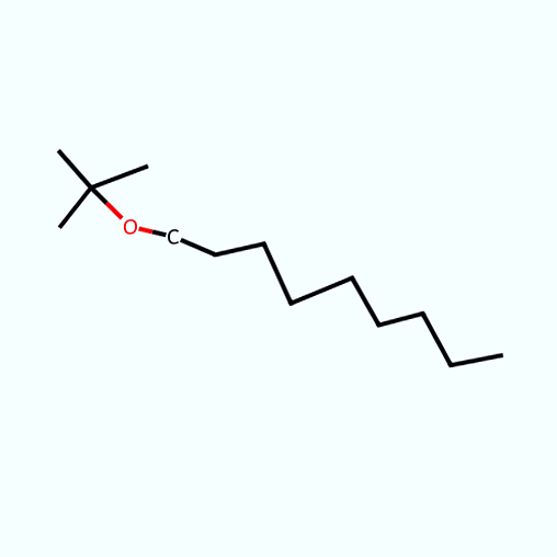 CCCCCCCCCOC(C)(C)C